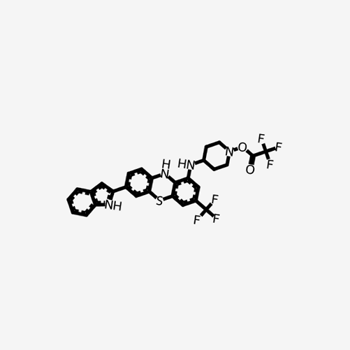 O=C(ON1CCC(Nc2cc(C(F)(F)F)cc3c2Nc2ccc(-c4cc5ccccc5[nH]4)cc2S3)CC1)C(F)(F)F